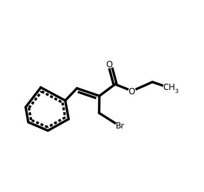 CCOC(=O)C(=Cc1ccccc1)CBr